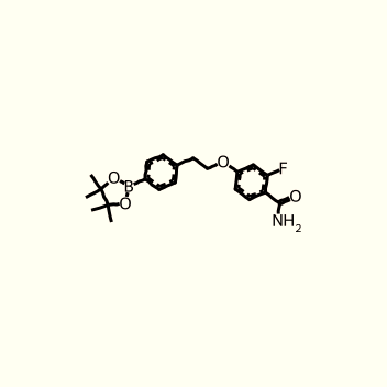 CC1(C)OB(c2ccc(CCOc3ccc(C(N)=O)c(F)c3)cc2)OC1(C)C